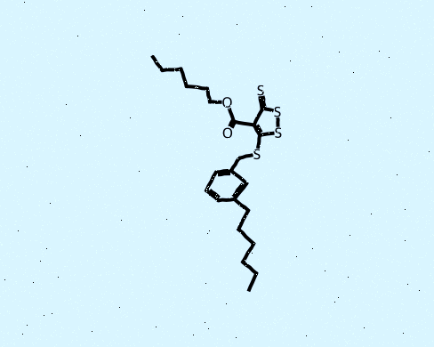 CCCCCCOC(=O)c1c(SCc2cccc(CCCCCC)c2)ssc1=S